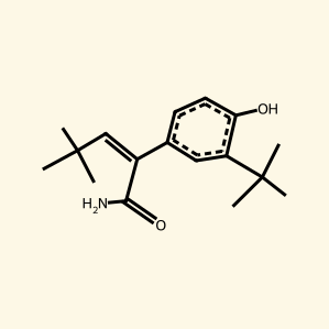 CC(C)(C)C=C(C(N)=O)c1ccc(O)c(C(C)(C)C)c1